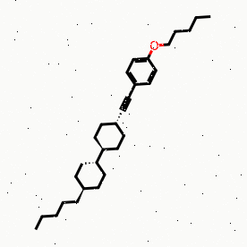 CCCCCOc1ccc(C#C[C@H]2CC[C@H]([C@H]3CC[C@H](CCCCC)CC3)CC2)cc1